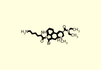 CCN(CC)C(=O)[C@@H]1C=C2c3cccc4c3c(c(Br)n4C(=O)[C@@H](N)CCCCN)C[C@H]2N(C)C1